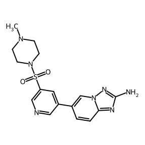 CN1CCN(S(=O)(=O)c2cncc(-c3ccc4nc(N)nn4c3)c2)CC1